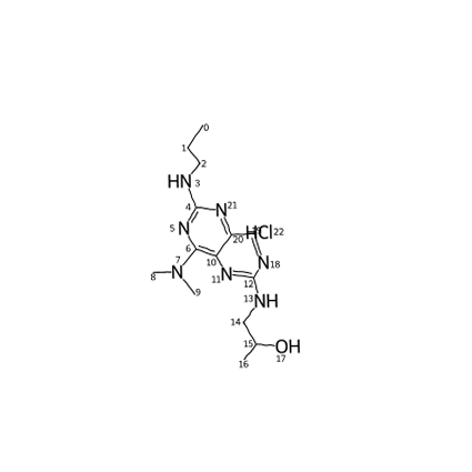 CCCNc1nc(N(C)C)c2nc(NCC(C)O)ncc2n1.Cl